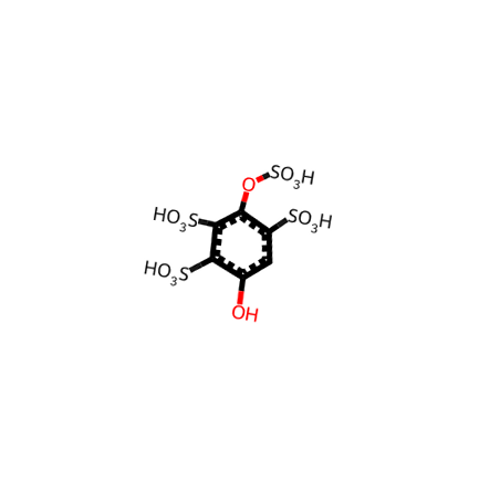 O=S(=O)(O)Oc1c(S(=O)(=O)O)cc(O)c(S(=O)(=O)O)c1S(=O)(=O)O